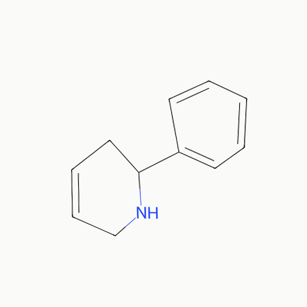 C1=CCC(c2ccccc2)NC1